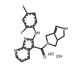 Cl.Cl.O=C(c1c(Nc2ccc(I)cc2F)sc2ncccc12)N1CC2=CNCC2C1